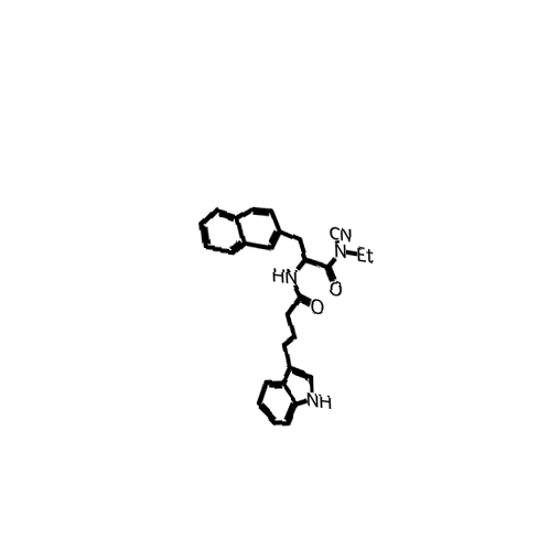 CCN(C#N)C(=O)C(Cc1ccc2ccccc2c1)NC(=O)CCCc1c[nH]c2ccccc12